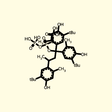 Cc1cc(O)c(C(C)(C)C)cc1C(C)CC(OP(=O)(OP(=O)(O)O)OP(=O)(O)O)(c1cc(C(C)(C)C)c(O)cc1C)c1cc(C(C)(C)C)c(O)cc1C